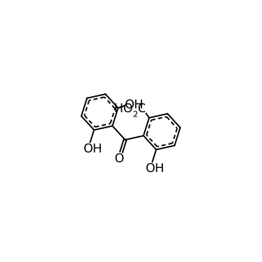 O=C(O)c1cccc(O)c1C(=O)c1c(O)cccc1O